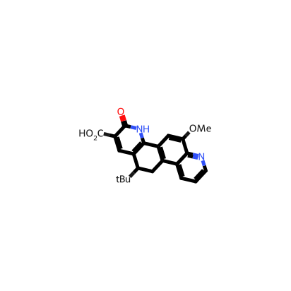 COc1cc2c(c3cccnc13)CC(C(C)(C)C)c1cc(C(=O)O)c(=O)[nH]c1-2